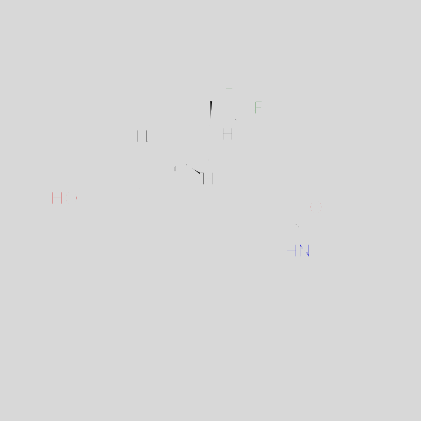 C[C@]12CC[C@@H]3c4ccc(O)cc4CC[C@H]3[C@@H]1[C@@H](CCCC(=O)NCc1ccccc1)CC2(F)F